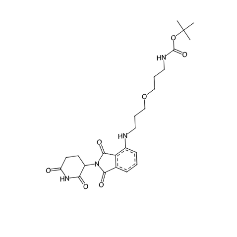 CC(C)(C)OC(=O)NCCCOCCCNc1cccc2c1C(=O)N(C1CCC(=O)NC1=O)C2=O